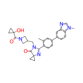 Cc1cc(-c2ccc3c(c2)ncn3C)ccc1C1=NC2(CC2)C(=O)N1CC1CN(C(=O)C2(O)CC2)C1